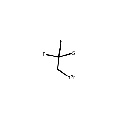 CCCCC(F)(F)[S]